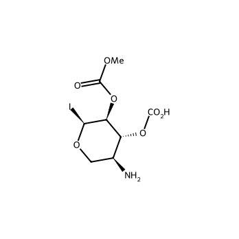 COC(=O)O[C@H]1[C@H](OC(=O)O)[C@@H](N)CO[C@H]1I